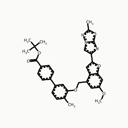 COc1cc(COc2cc(-c3ccc(C(=O)OC(C)(C)C)cc3)ccc2C)c2cc(-c3cn4nc(C)sc4n3)oc2c1